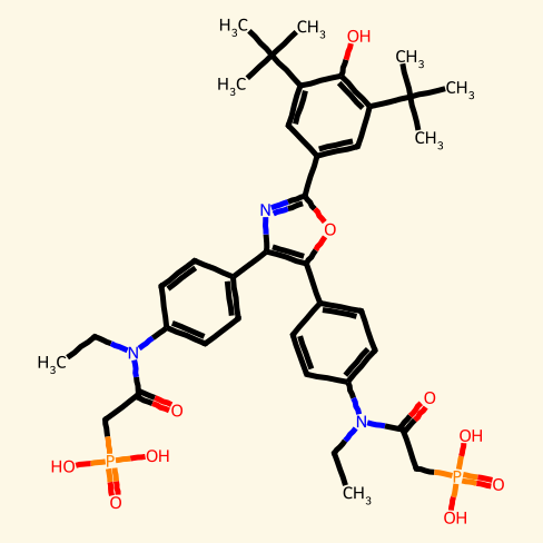 CCN(C(=O)CP(=O)(O)O)c1ccc(-c2nc(-c3cc(C(C)(C)C)c(O)c(C(C)(C)C)c3)oc2-c2ccc(N(CC)C(=O)CP(=O)(O)O)cc2)cc1